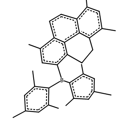 Cc1cc(C)c(B(c2cc(C)c3ccc4c(C)cc(C)c5c4c3c2CC5)c2c(C)cc(C)cc2C)c(C)c1